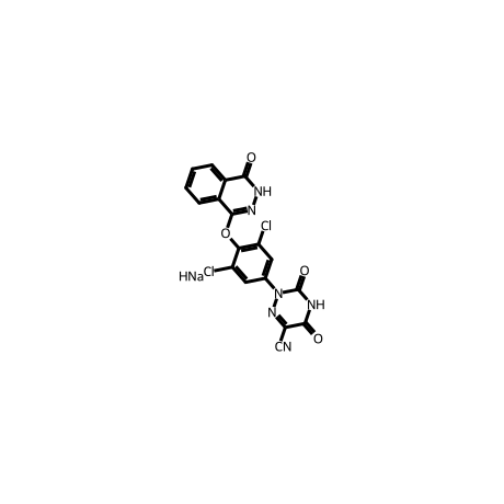 N#Cc1nn(-c2cc(Cl)c(Oc3n[nH]c(=O)c4ccccc34)c(Cl)c2)c(=O)[nH]c1=O.[NaH]